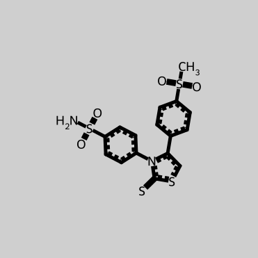 CS(=O)(=O)c1ccc(-c2csc(=S)n2-c2ccc(S(N)(=O)=O)cc2)cc1